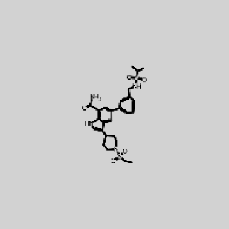 CCS(=O)(=O)N1CCC(c2c[nH]c3c(C(N)=O)cc(-c4cccc(CNS(=O)(=O)C(C)C)c4)cc23)CC1